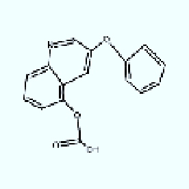 O=C(O)Oc1cccc2ncc(Oc3ccccc3)cc12